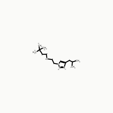 CC(C)Cc1cn(CCOCCC(C)(C)C)nn1